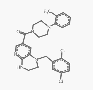 O=C(c1cnc2c(c1)N(Cc1cc(Cl)ccc1Cl)CCN2)N1CCN(c2ccccc2C(F)(F)F)CC1